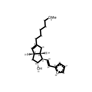 COCCCCCC1=C[C@H]2C[C@@H](O)[C@H](/C=C/c3ccco3)[C@H]2C1